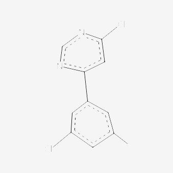 Cc1cc(Cl)cc(-c2cc(Cl)ncn2)c1